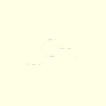 N#CCc1cccc(CO)c1F